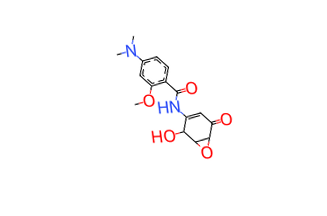 COc1cc(N(C)C)ccc1C(=O)NC1=CC(=O)C2OC2C1O